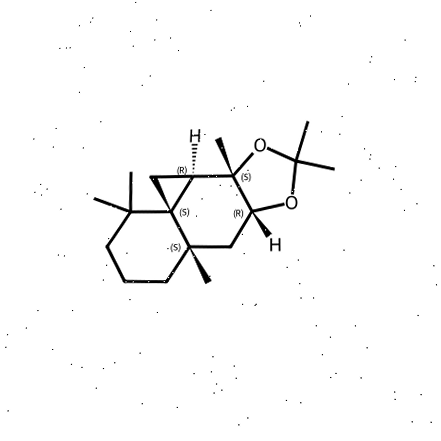 CC1(C)O[C@@H]2C[C@]3(C)CCCC(C)(C)[C@@]34C[C@H]4[C@]2(C)O1